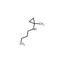 CCC[CH]NC1(C)CC1